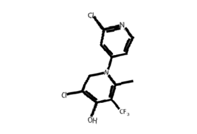 CC1=C(C(F)(F)F)C(O)=C(Cl)CN1c1ccnc(Cl)c1